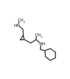 CNCC1CC1CC(C)NCC1CCCCC1